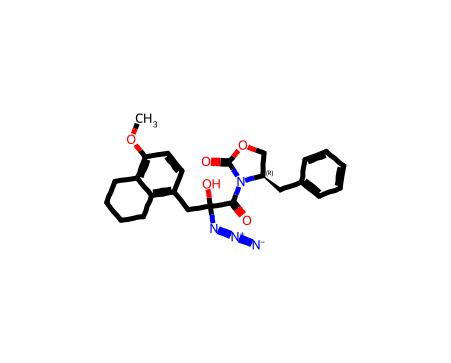 COc1ccc(CC(O)(N=[N+]=[N-])C(=O)N2C(=O)OC[C@H]2Cc2ccccc2)c2c1CCCC2